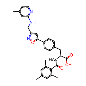 Cc1ccnc(NCc2cc(-c3ccc(CC([AsH]C(=O)c4c(C)cc(C)cc4C)C(=O)O)cc3)on2)c1